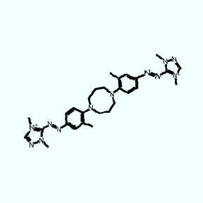 Cc1cc(N=Nc2n(C)nc[n+]2C)ccc1N1CCCN(c2ccc(N=Nc3n(C)nc[n+]3C)cc2C)CCC1